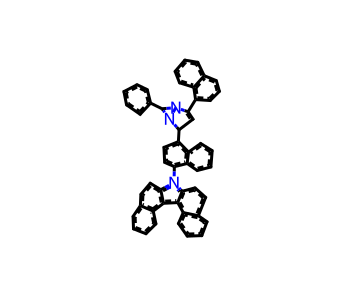 C1=C(c2cccc3ccccc23)N2C(c3ccccc3)N2C1c1ccc(-n2c3ccc4ccccc4c3c3c4ccccc4ccc32)c2ccccc12